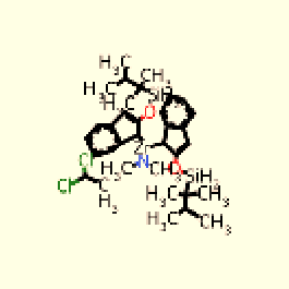 CC(C)C(C)(C)[SiH2]OC1=Cc2ccccc2[CH]1[Zr]([CH]1C(O[SiH2]C(C)(C)C(C)C)=Cc2ccccc21)[N](C)C.CC(Cl)Cl